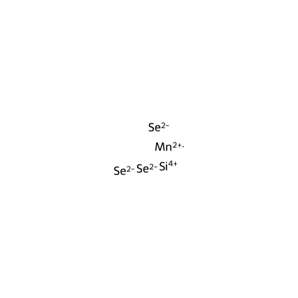 [Mn+2].[Se-2].[Se-2].[Se-2].[Si+4]